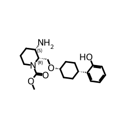 COC(=O)N1CCC[C@H](N)[C@@H]1CO[C@H]1CC[C@@H](c2ccccc2O)CC1